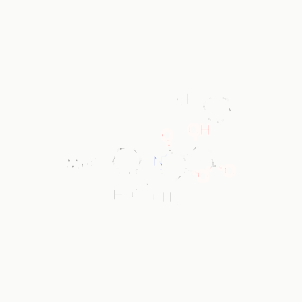 COc1ccc2c(c1)C(C)(C)c1cc3oc(=O)c(Sc4cccc(Cl)c4)c(O)c3c(=O)n1-2